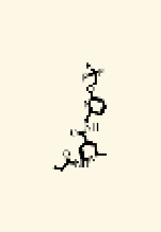 CCC(=O)Nc1cc(C(=O)NCc2cccc(OCC(F)(F)F)n2)cc(C)n1